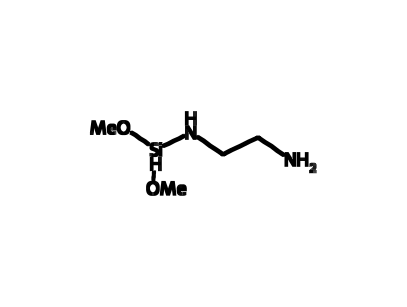 CO[SiH](NCCN)OC